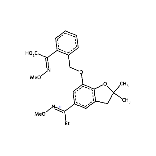 CC/C(=N\OC)c1cc2c(c(OCc3ccccc3C(=NOC)C(=O)O)c1)OC(C)(C)C2